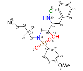 COc1ccc(S(=O)(=O)N(CC(O)[C@H](Cc2ccccc2)NCl)CC(C)(C)CCC#N)cc1